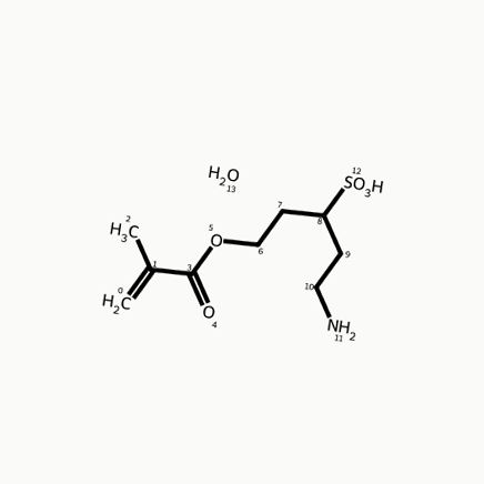 C=C(C)C(=O)OCCC(CCN)S(=O)(=O)O.O